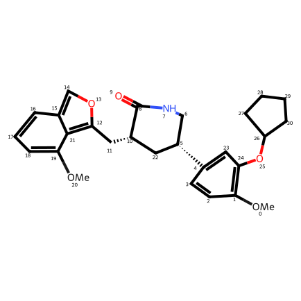 COc1ccc([C@H]2CNC(=O)[C@@H](Cc3occ4cccc(OC)c34)C2)cc1OC1CCCC1